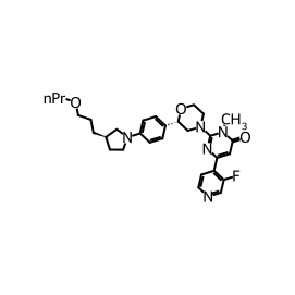 CCCOCCC[C@@H]1CCN(c2ccc([C@H]3CN(c4nc(-c5ccncc5F)cc(=O)n4C)CCO3)cc2)C1